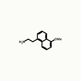 COc1cccc2c(CCN)cccc12